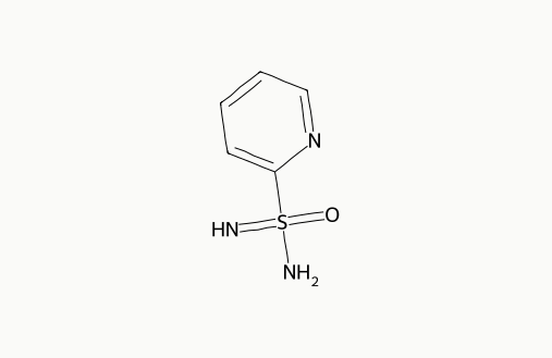 N=S(N)(=O)c1ccccn1